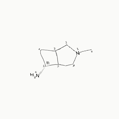 CN1CC2C[C@@H](N)C2C1